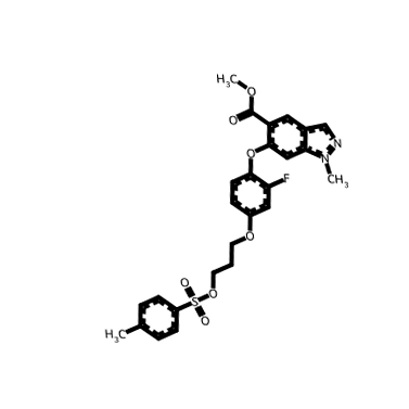 COC(=O)c1cc2cnn(C)c2cc1Oc1ccc(OCCCOS(=O)(=O)c2ccc(C)cc2)cc1F